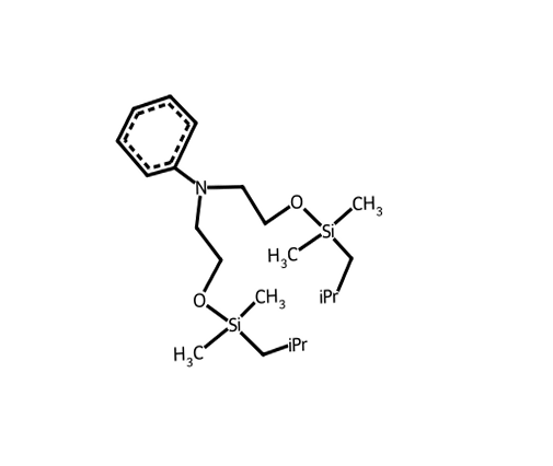 CC(C)C[Si](C)(C)OCCN(CCO[Si](C)(C)CC(C)C)c1ccccc1